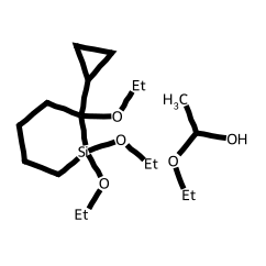 CCOC(C)O.CCOC1(C2CC2)CCCC[Si]1(OCC)OCC